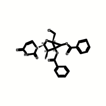 O=C(OC1[C@@]2(CCl)O[C@@H](n3ccc(=O)[nH]c3=O)[C@H](F)[C@@]12OC(=O)c1ccccc1)c1ccccc1